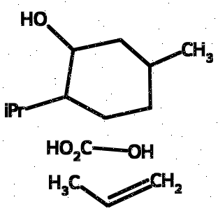 C=CC.CC1CCC(C(C)C)C(O)C1.O=C(O)O